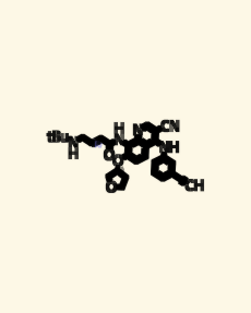 C#Cc1cccc(Nc2c(C#N)cnc3c(NC(=O)/C=C/CNC(C)(C)C)c(O[C@H]4CCOC4)ccc23)c1